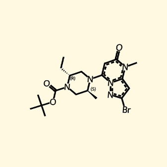 CC[C@@H]1CN(c2cc(=O)n(C)c3cc(Br)nn23)[C@@H](C)CN1C(=O)OC(C)(C)C